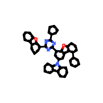 c1ccc(-c2nc(-c3cccc4c3oc3ccccc34)nc(-c3cc(-n4c5ccccc5c5ccccc54)cc4c3oc3cccc(-c5ccccc5)c34)n2)cc1